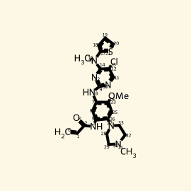 C=CC(=O)Nc1cc(Nc2ncc(Cl)c(N(C)c3cccs3)n2)c(OC)cc1N1CCN(C)CC1